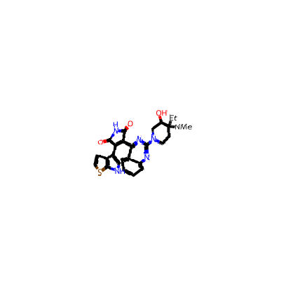 CCC1(NC)CCN(c2nc(C3=C(c4c[nH]c5sccc45)C(=O)NC3=O)c3ccccc3n2)CC1O